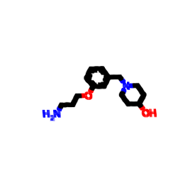 NCCCOc1cccc(CN2CCC(O)CC2)c1